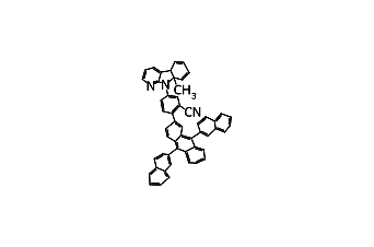 CC12C=CC=CC1c1cccnc1N2c1ccc(-c2ccc3c(-c4ccc5ccccc5c4)c4ccccc4c(-c4ccc5ccccc5c4)c3c2)c(C#N)c1